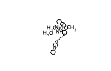 CN=C(N)N(c1cc(CCCCN2CCN(c3ccccc3)CC2)ccc1OC)c1occ2ccccc12.O